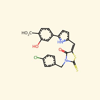 O=C(O)c1ccc(-c2ccc(C=C3SC(=S)N(Cc4ccc(Cl)cc4)C3=O)[nH]2)cc1O